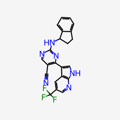 N#Cc1cnc(NC2CCc3ccccc32)nc1-c1c[nH]c2ncc(C(F)(F)F)cc12